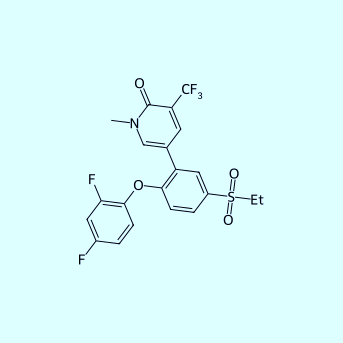 CCS(=O)(=O)c1ccc(Oc2ccc(F)cc2F)c(-c2cc(C(F)(F)F)c(=O)n(C)c2)c1